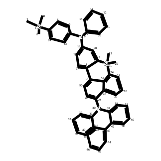 C[Si](C)(C)c1ccc(N(c2ccccc2)c2ccc3c(c2)[Si](C)(C)c2cccc4c(N(c5ccccc5)c5ccccc5-c5ccccc5)ccc-3c24)cc1